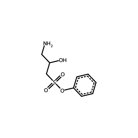 NCC(O)CS(=O)(=O)Oc1ccccc1